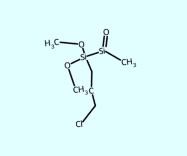 CO[Si](CCCCl)(OC)[Si](C)=O